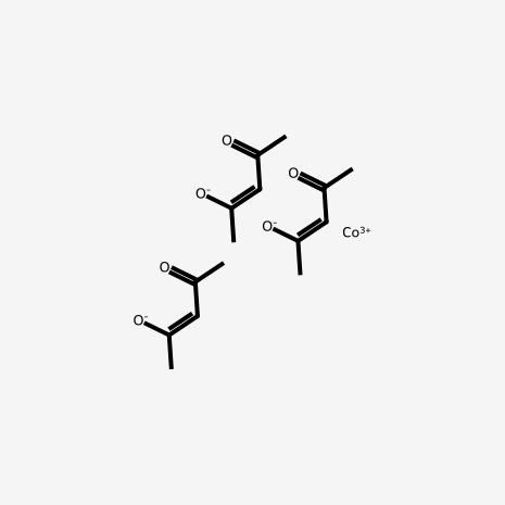 CC(=O)/C=C(/C)[O-].CC(=O)/C=C(/C)[O-].CC(=O)/C=C(/C)[O-].[Co+3]